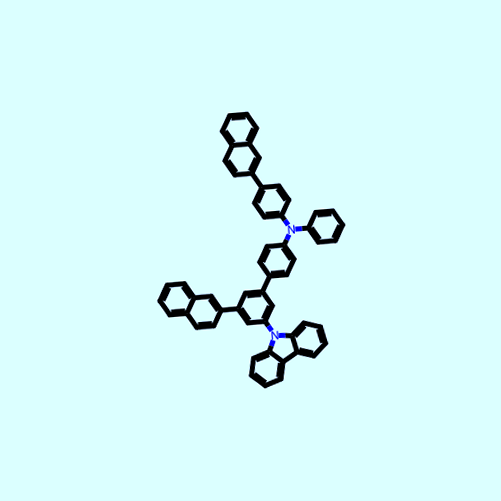 c1ccc(N(c2ccc(-c3cc(-c4ccc5ccccc5c4)cc(-n4c5ccccc5c5ccccc54)c3)cc2)c2ccc(-c3ccc4ccccc4c3)cc2)cc1